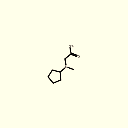 CN(CC(N)=O)C1CCCC1